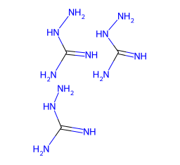 N=C(N)NN.N=C(N)NN.N=C(N)NN